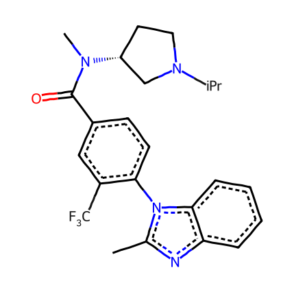 Cc1nc2ccccc2n1-c1ccc(C(=O)N(C)[C@@H]2CCN(C(C)C)C2)cc1C(F)(F)F